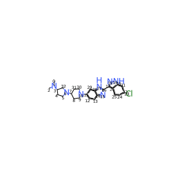 CN(C)C1CCN(C2CCN(c3ccc4nc(-c5n[nH]c6cc(Cl)ccc56)[nH]c4c3)CC2)C1